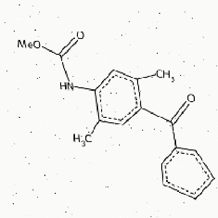 COC(=O)Nc1cc(C)c(C(=O)c2ccccc2)cc1C